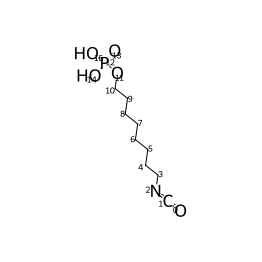 O=C=NCCCCCCCCOP(=O)(O)O